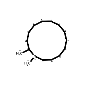 CC1CCCCCCCCCCCCN1C